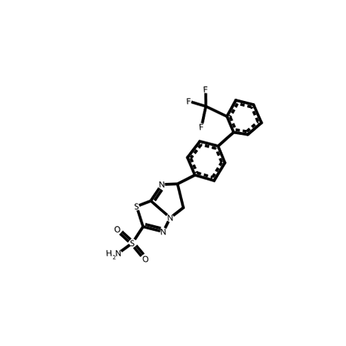 NS(=O)(=O)C1=NN2CC(c3ccc(-c4ccccc4C(F)(F)F)cc3)N=C2S1